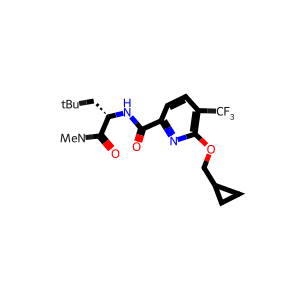 CNC(=O)[C@H](CC(C)(C)C)NC(=O)c1ccc(C(F)(F)F)c(OCC2CC2)n1